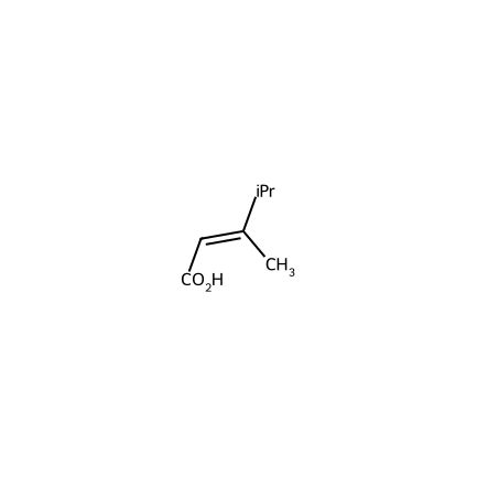 CC(=CC(=O)O)C(C)C